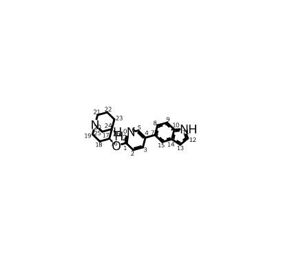 C=C(/C=C\C(=C/N)c1ccc2[nH]ccc2c1)O[C@H]1CCN2CCC[C@@H]1C2